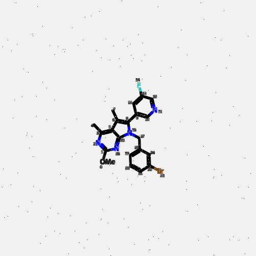 COc1nc(C)c2c(C)c(-c3cncc(F)c3)n(Cc3cccc(Br)c3)c2n1